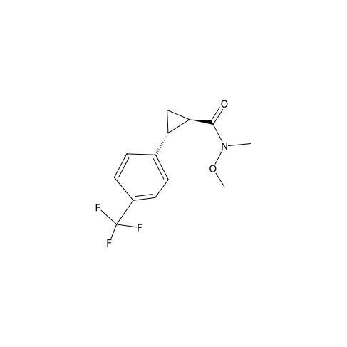 CON(C)C(=O)[C@@H]1C[C@H]1c1ccc(C(F)(F)F)cc1